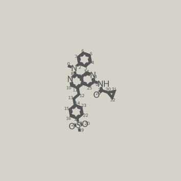 CN(c1ccccc1)c1ncc(CCc2ccc(S(C)(=O)=O)cc2)c2cc(NC(=O)C3CC3)ncc12